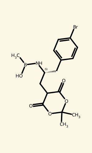 CB(O)N[C@H](Cc1ccc(Br)cc1)CC1C(=O)OC(C)(C)OC1=O